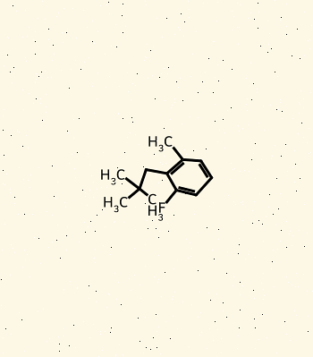 Cc1cccc(F)c1CC(C)(C)C